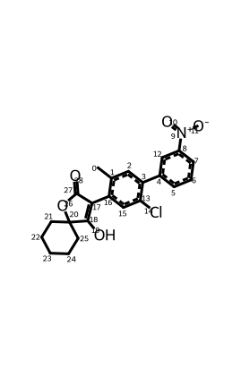 Cc1cc(-c2cccc([N+](=O)[O-])c2)c(Cl)cc1C1=C(O)C2(CCCCC2)OC1=O